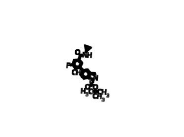 Cc1c(F)cc(C(=O)NC2CC2)cc1-c1ccc2c(cnn2C(=O)OC(C)(C)C)c1